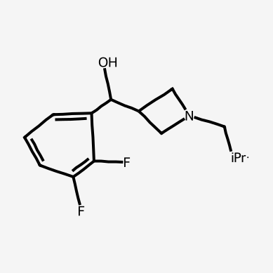 C[C](C)CN1CC(C(O)c2cccc(F)c2F)C1